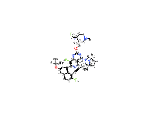 CC(C)[Si](C#Cc1c(F)ccc2cc(O[Si](C(C)C)(C(C)C)C(C)C)cc(-c3ncc4c(N5C[C@H]6CC[C@@H](C5)N6)nc(OC[C@]5(C)CN(C)CC/C5=C\F)nc4c3F)c12)(C(C)C)C(C)C